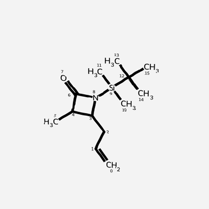 C=CCC1C(C)C(=O)N1[Si](C)(C)C(C)(C)C